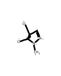 Cn1ncc(Cl)c1Cl